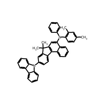 Cc1ccc(N(c2ccccc2)c2cc3c(c4ccccc24)-c2ccc(-n4c5ccccc5c5ccccc54)cc2C3(C)C)c(C)c1